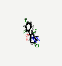 CC(F)(C1C=NN=N1)C(O)(c1ccc(Cl)cc1)c1ccc(F)cc1F